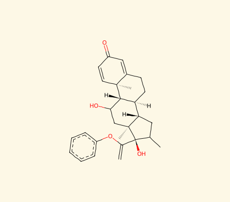 C=C(Oc1ccccc1)[C@@]1(O)C(C)C[C@H]2[C@@H]3CCC4=CC(=O)C=C[C@]4(C)[C@H]3C(O)C[C@@]21C